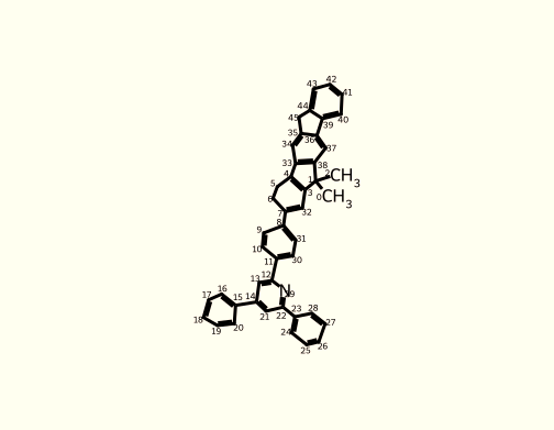 CC1(C)C2=C(CCC(c3ccc(-c4cc(-c5ccccc5)cc(-c5ccccc5)n4)cc3)=C2)c2cc3c(cc21)-c1ccccc1C3